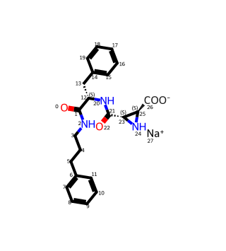 O=C(NCCCc1ccccc1)[C@H](Cc1ccccc1)NC(=O)[C@H]1N[C@@H]1C(=O)[O-].[Na+]